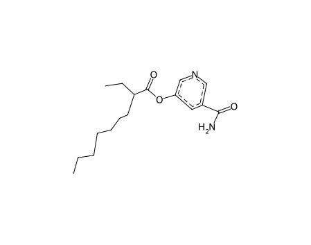 CCCCCCCC(CC)C(=O)Oc1cncc(C(N)=O)c1